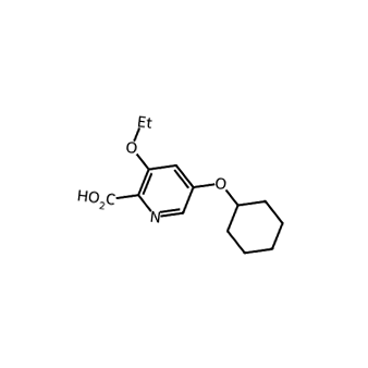 CCOc1cc(OC2CCCCC2)cnc1C(=O)O